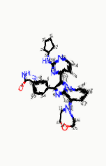 NC(=O)c1ccc(-c2nc3c(N4CCOCC4)cccn3c2-c2ccnc(NC3CCCC3)n2)cc1